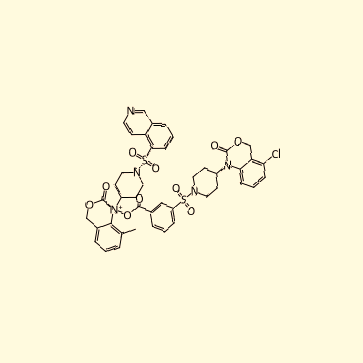 Cc1cccc2c1[N+](OC(=O)c1cccc(S(=O)(=O)N3CCC(N4C(=O)OCc5c(Cl)cccc54)CC3)c1)(C1CCN(S(=O)(=O)c3cccc4cnccc34)CC1)C(=O)OC2